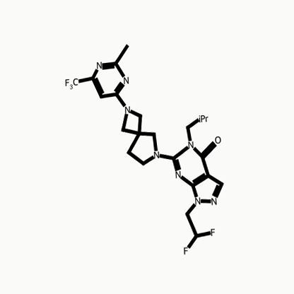 Cc1nc(N2CC3(CCN(c4nc5c(cnn5CC(F)F)c(=O)n4CC(C)C)C3)C2)cc(C(F)(F)F)n1